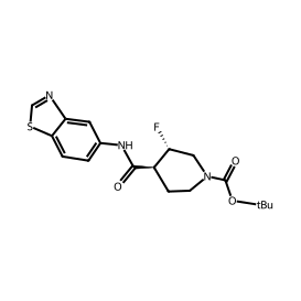 CC(C)(C)OC(=O)N1CC[C@@H](C(=O)Nc2ccc3scnc3c2)[C@H](F)C1